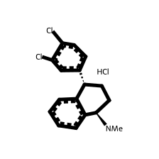 CN[C@@H]1CC[C@@H](c2ccc(Cl)c(Cl)c2)c2ccccc21.Cl